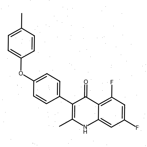 Cc1ccc(Oc2ccc(-c3c(C)[nH]c4cc(F)cc(F)c4c3=O)cc2)cc1